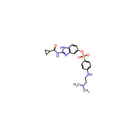 CN(C)CCNc1ccc(S(=O)(=O)Oc2ccc3[nH]c(NC(=O)C4CC4)nc3c2)cc1